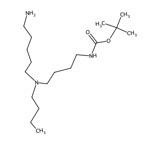 CCCCN(CCCCCN)CCCCNC(=O)OC(C)(C)C